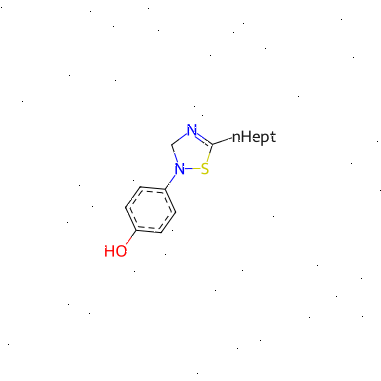 CCCCCCCC1=NCN(c2ccc(O)cc2)S1